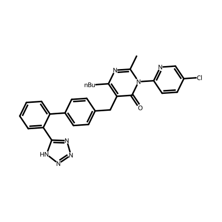 CCCCc1nc(C)n(-c2ccc(Cl)cn2)c(=O)c1Cc1ccc(-c2ccccc2-c2nnn[nH]2)cc1